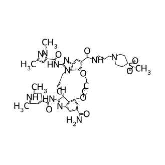 CCC/C(=C\C(C)=N)C(=O)NC1=Nc2cc(C(N)=O)cc3c2[C@@H]1C/C=C/Cn1c(NC(=O)c2cc(C)nn2CC)nc2cc(C(=O)NCCCN4CCC(S(C)(=O)=O)CC4)cc(c21)OCCCO3